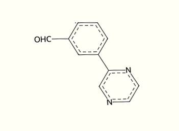 O=Cc1[c]ccc(-c2cnccn2)c1